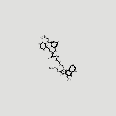 COCCc1nc2c(N)nc3ccccc3c2n1CCCCNC(=O)N(CCN1CCCCC1)Cc1cccc(OCC(=O)O)c1